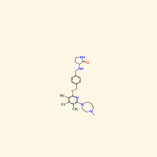 CCc1c(C#N)c(SCc2ccc(CNC3CCNC3=O)cc2)nc(N2CCCN(C)CC2)c1C#N